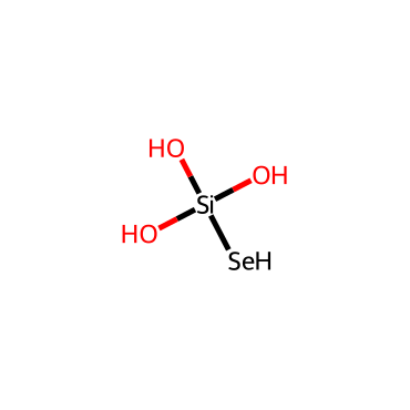 O[Si](O)(O)[SeH]